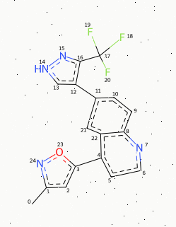 Cc1cc(-c2ccnc3ccc(-c4c[nH]nc4C(F)(F)F)cc23)on1